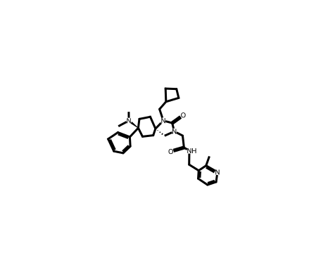 Cc1ncccc1CNC(=O)CN1C[C@]2(CC[C@](c3ccccc3)(N(C)C)CC2)N(CC2CCC2)C1=O